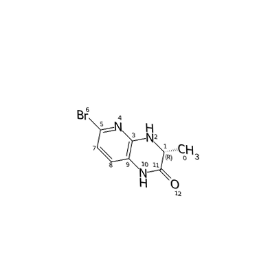 C[C@H]1Nc2nc(Br)ccc2NC1=O